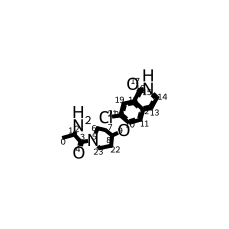 CC(N)C(=O)N1CCC(Oc2cc3cc[nH]c(=O)c3cc2Cl)CC1